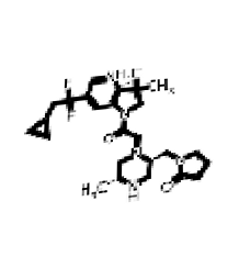 C[C@@H]1CN(CC(=O)N2CC(C)(C)c3ncc(C(F)(F)CC4CC4)cc32)[C@@H](CN2CCCC2=O)CN1